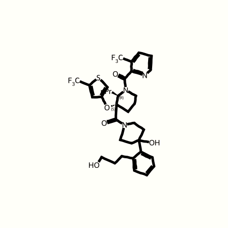 CCC[C@H]1N(C(=O)c2ncccc2C(F)(F)F)CCC[C@@]1(Oc1csc(C(F)(F)F)c1)C(=O)N1CCC(O)(c2ccccc2CCCO)CC1